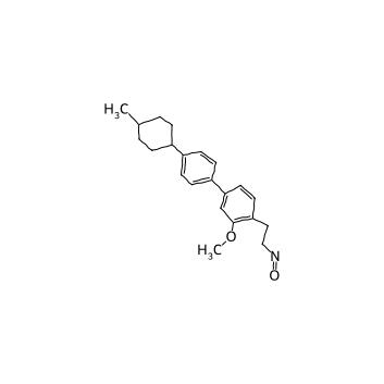 COc1cc(-c2ccc(C3CCC(C)CC3)cc2)ccc1CCN=O